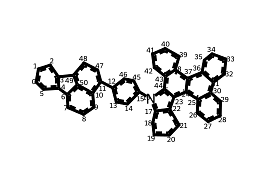 c1ccc2c(c1)-c1cccc3c(-c4ccc(-n5c6ccccc6c6c7c8ccccc8c8ccccc8c7c7ccccc7c65)cc4)ccc-2c13